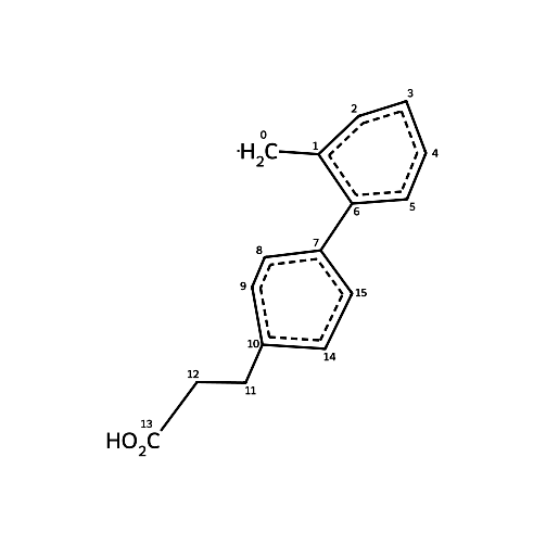 [CH2]c1ccccc1-c1ccc(CCC(=O)O)cc1